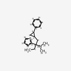 CCC(CC1CC1c1ccccc1)(c1cccs1)N(C)C